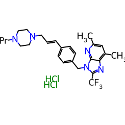 Cc1cc(C)c2nc(C(F)(F)F)n(Cc3ccc(/C=C/CN4CCN(C(C)C)CC4)cc3)c2n1.Cl.Cl